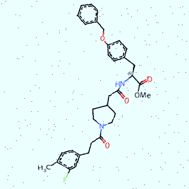 COC(=O)[C@H](Cc1ccc(OCc2ccccc2)cc1)NC(=O)CC1CCN(C(=O)CCc2ccc(C)c(F)c2)CC1